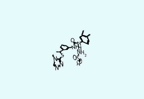 Cc1ccc(NC(=O)Nc2cccc(C(C)Sc3nncn3C)c2)cc1C.N[SH](=O)=O